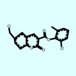 Cc1cccc(Cl)c1OC(=O)c1cc2cc(CCl)ccc2oc1=O